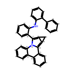 c1ccc(-c2ccccc2Nc2ccccc2-c2c3c(c4c5ccccc5c5ccccc5n24)C3)cc1